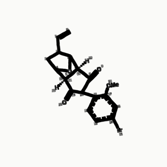 C=CC1CC2OC1[C@H]1C(=O)C(c3ccc(Br)cc3OC)C(=O)[C@@H]21